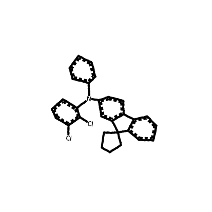 Clc1cccc(N(c2ccccc2)c2ccc3c(c2)C2(CCCC2)c2ccccc2-3)c1Cl